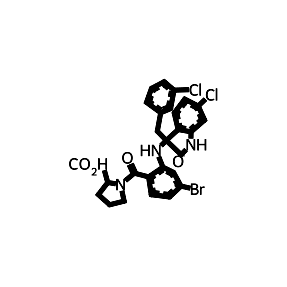 O=C(O)C1CCCN1C(=O)c1ccc(Br)cc1NC1(Cc2cccc(Cl)c2)C(=O)Nc2cc(Cl)ccc21